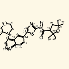 C[C@H]1COCCN1c1cnnc2ccc(-c3cnc(NC(=O)C4CC(C)(C)OC4(C)C)s3)cc12